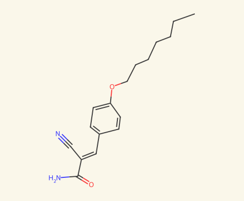 CCCCCCCOc1ccc(/C=C(\C#N)C(N)=O)cc1